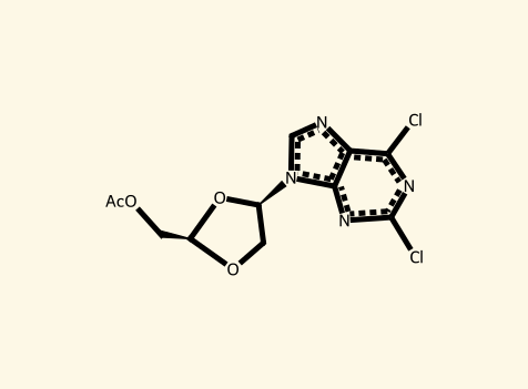 CC(=O)OC[C@@H]1OC[C@H](n2cnc3c(Cl)nc(Cl)nc32)O1